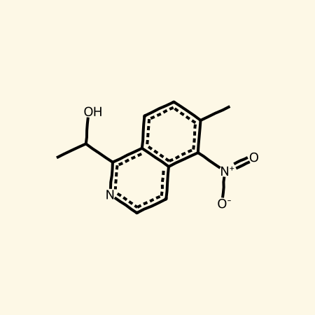 Cc1ccc2c(C(C)O)nccc2c1[N+](=O)[O-]